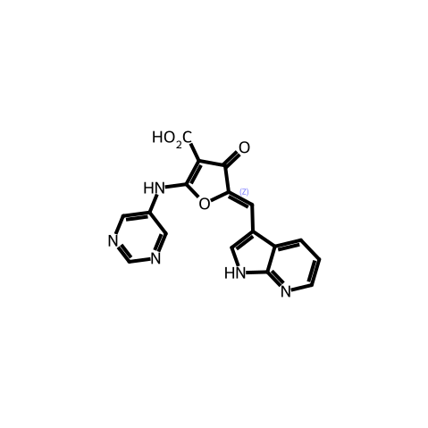 O=C(O)C1=C(Nc2cncnc2)O/C(=C\c2c[nH]c3ncccc23)C1=O